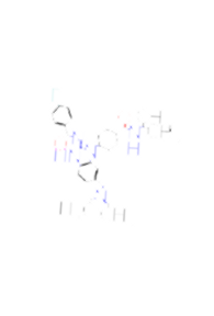 CCN(CC)Cc1ccc2[nH]/c(=N\C(=O)c3ccc(F)cc3)n([C@H]3CC[C@@H](C(=O)NC(C)C)CC3)c2c1